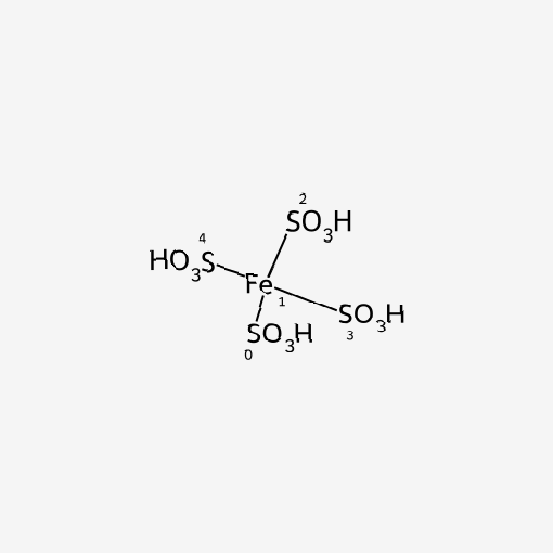 O=[S](=O)(O)[Fe]([S](=O)(=O)O)([S](=O)(=O)O)[S](=O)(=O)O